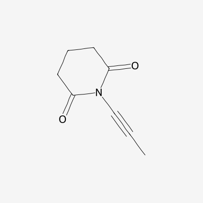 CC#CN1C(=O)CCCC1=O